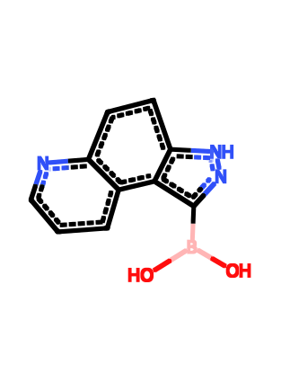 OB(O)c1n[nH]c2ccc3ncccc3c12